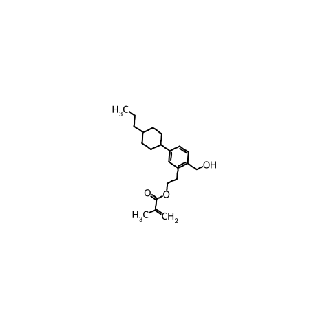 C=C(C)C(=O)OCCc1cc(C2CCC(CCC)CC2)ccc1CO